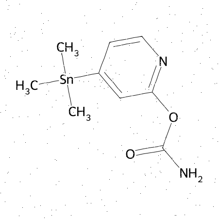 [CH3][Sn]([CH3])([CH3])[c]1ccnc(OC(N)=O)c1